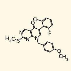 COc1ccc(Cn2cc(-c3c(F)cccc3Cl)c(=O)c3cnc(SC)nc32)cc1